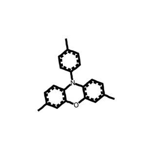 Cc1ccc(N2c3ccc(C)cc3Oc3cc(C)ccc32)cc1